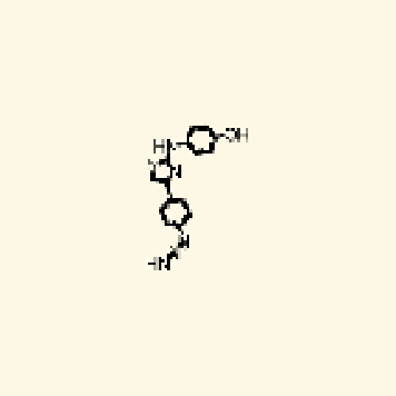 N=[N+]=Nc1ccc(-c2csc(Nc3ccc(O)cc3)n2)cc1